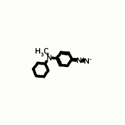 CN(C1=CCC(=[N+]=[N-])C=C1)C1CCCCC1